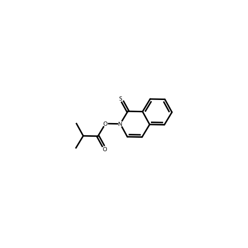 CC(C)C(=O)On1ccc2ccccc2c1=S